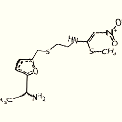 CSC(=C[N+](=O)[O-])NCCSCc1ccc(C(C)N)o1